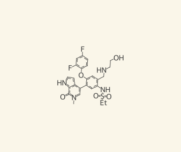 CCS(=O)(=O)Nc1cc(-c2cn(C)c(=O)c3[nH]ccc23)c(Oc2ccc(F)cc2F)cc1CNCCO